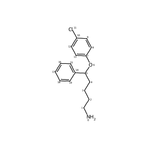 NCCCCC(Oc1ccc(Cl)cc1)c1ccccc1